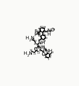 Cc1ccccc1NN(C)C(=O)[C@H](CCCCN)NC(=O)[C@H](CCCN)NCc1cccc(-c2c(CNC=O)cccc2C(F)(F)F)c1